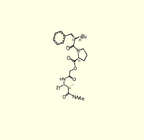 CCC(NC(=O)COC(=O)[C@@H]1CCCN1C(=O)[C@@H](Cc1ccccc1)[C@H](C)CC)[C@H](C)C(=O)NC